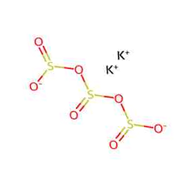 O=S([O-])OS(=O)OS(=O)[O-].[K+].[K+]